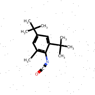 Cc1cc(C(C)(C)C)cc(C(C)(C)C)c1N=C=O